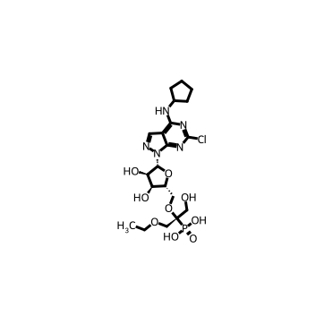 CCOC[C@](CO)(OC[C@H]1O[C@@H](n2ncc3c(NC4CCCC4)nc(Cl)nc32)[C@H](O)[C@@H]1O)P(=O)(O)O